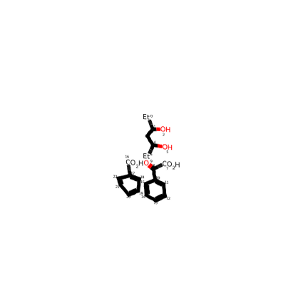 CCC(O)CC(O)CC.O=C(O)C(=O)c1ccccc1.O=C(O)c1ccccc1